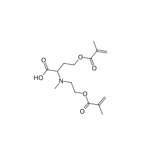 C=C(C)C(=O)OCCC(C(=O)O)N(C)CCOC(=O)C(=C)C